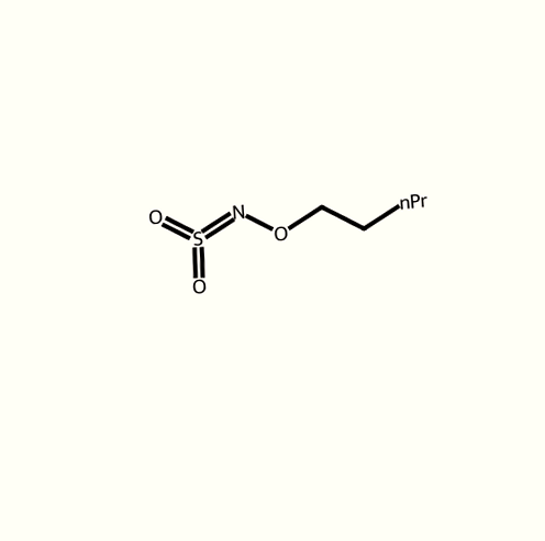 CCCCCON=S(=O)=O